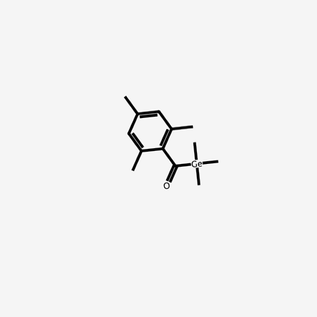 Cc1cc(C)c([C](=O)[Ge]([CH3])([CH3])[CH3])c(C)c1